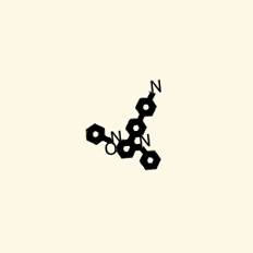 N#Cc1ccc(-c2ccc3c(c2)nc(-c2ccccc2)c2ccc4oc(-c5ccccc5)nc4c23)cc1